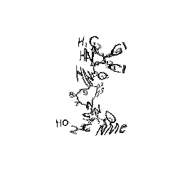 CNC(=O)c1nc(N2CCCC(NC(=O)c3[nH]c(C)c(Cl)c3Cl)CC2)sc1C(=O)O